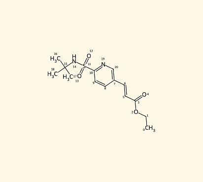 CCOC(=O)/C=C/c1ccc(S(=O)(=O)NC(C)(C)C)nc1